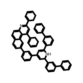 C1=CCCC(c2cc(C3=CC=CCC3)c3c(ccc4ccc(-c5cccc(C6=CC(c7cccc(-c8ccccc8)c7)NC(c7cccc(-c8ccccc8)c7)=C6)c5)cc43)n2)=C1